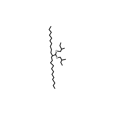 CCCCCCCCCCCCC(CCCCCCCCCC)C(OCC(C)CC)OCC(C)CC